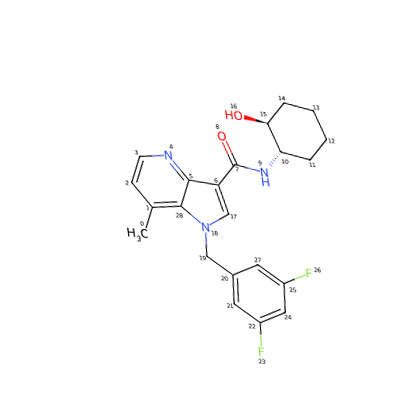 Cc1ccnc2c(C(=O)N[C@H]3CCCC[C@@H]3O)cn(Cc3cc(F)cc(F)c3)c12